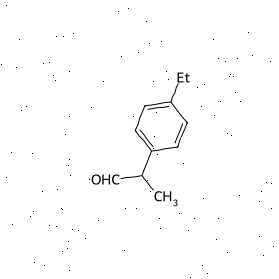 CCc1ccc(C(C)[C]=O)cc1